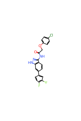 O=C(COc1ccc(Cl)cc1)Nc1n[nH]c2cc(-c3ccc(F)c(F)c3)ccc12